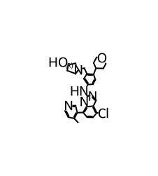 Cc1ccncc1-c1ccc(Cl)c2cnc(Nc3ccc(C4CCOCC4)c(CN4CC[C@@H](O)C4)c3)nc12